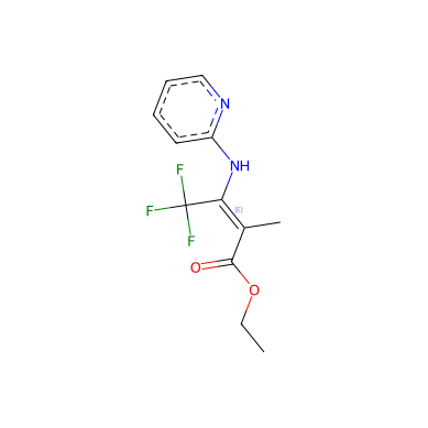 CCOC(=O)/C(C)=C(/Nc1ccccn1)C(F)(F)F